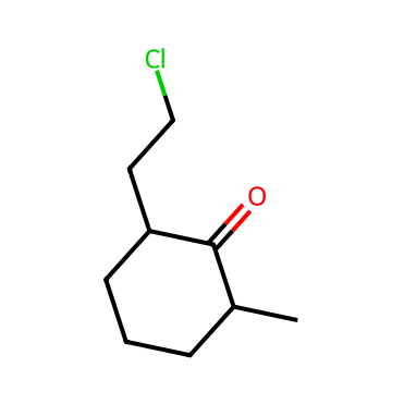 CC1CCCC(CCCl)C1=O